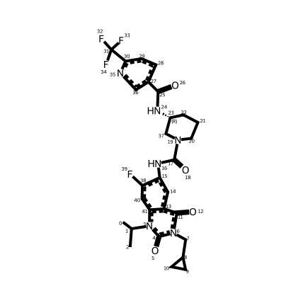 CC(C)n1c(=O)n(CC2CC2)c(=O)c2cc(NC(=O)N3CCC[C@@H](NC(=O)c4ccc(C(F)(F)F)nc4)C3)c(F)cc21